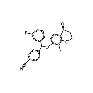 Cc1c(OC(c2ccc(C#N)cc2)c2cccc(F)c2)ccc2c1OCCC2=O